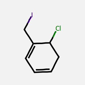 ClC1CC=CC=C1CI